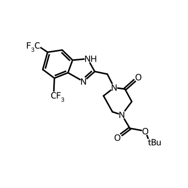 CC(C)(C)OC(=O)N1CCN(Cc2nc3c(C(F)(F)F)cc(C(F)(F)F)cc3[nH]2)C(=O)C1